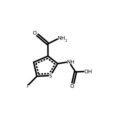 NC(=O)c1cc(I)sc1NC(=O)O